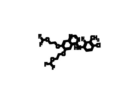 Cc1c(Cl)ccc(Nc2ncnc3cc(OCCOC(F)F)c(OCCOC(F)F)cc23)c1F